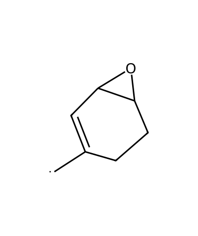 [CH2]C1=CC2OC2CC1